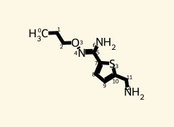 CCCO/N=C(\N)c1ccc(CN)s1